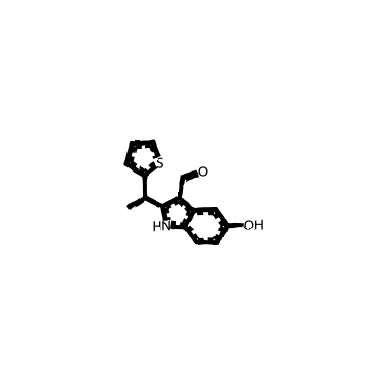 CC(c1cccs1)c1[nH]c2ccc(O)cc2c1C=O